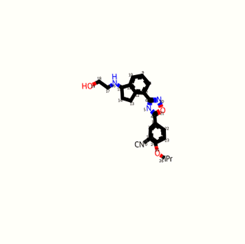 [C-]#[N+]c1cc(-c2nc(-c3cccc4c3CCC4NCCO)no2)ccc1OC(C)C